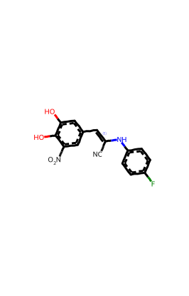 N#C/C(=C\c1cc(O)c(O)c([N+](=O)[O-])c1)Nc1ccc(F)cc1